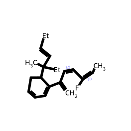 C=C(/C=C\C(F)=C/C)C1=CC=CCC1C(C)(C=CCC)CC